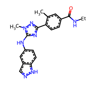 CCNC(=O)c1ccc(-c2nc(Nc3ccc4[nH]ncc4c3)n(C)n2)c(C)c1